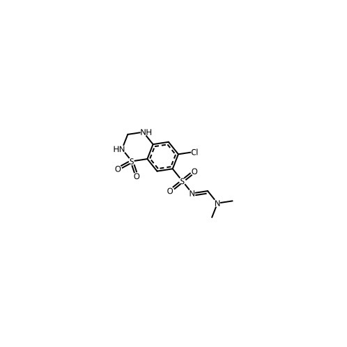 CN(C)C=NS(=O)(=O)c1cc2c(cc1Cl)NCNS2(=O)=O